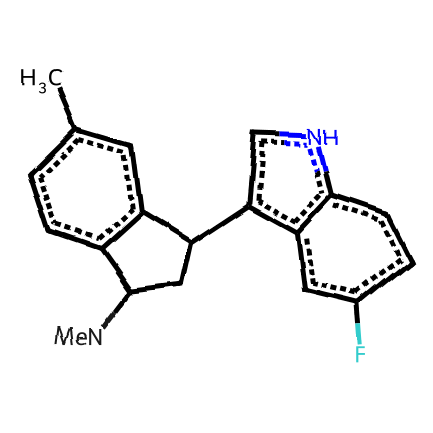 CNC1CC(c2c[nH]c3ccc(F)cc23)c2cc(C)ccc21